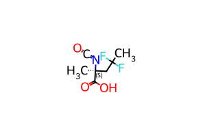 CC(F)(F)C[C@](C)(N=C=O)C(=O)O